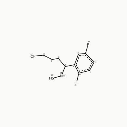 Fc1ccc(F)c(C(CCCCl)NS)c1